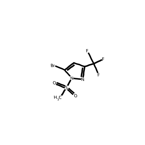 CS(=O)(=O)n1nc(C(F)(F)F)cc1Br